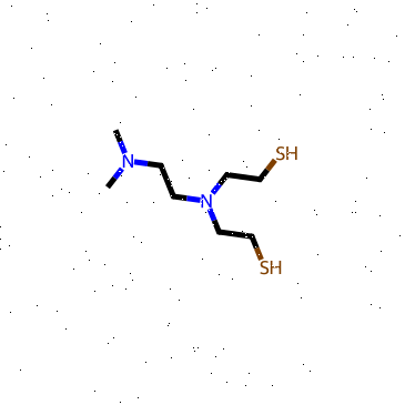 CN(C)CCN(CCS)CCS